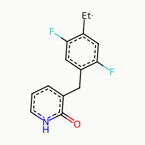 C[CH]c1cc(F)c(Cc2ccc[nH]c2=O)cc1F